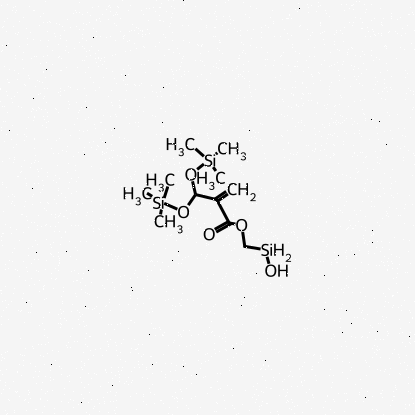 C=C(C(=O)OC[SiH2]O)C(O[Si](C)(C)C)O[Si](C)(C)C